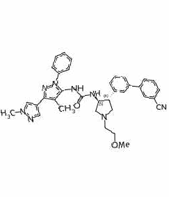 COCCN1C[C@@H](NC(=O)Nc2c(C)c(-c3cnn(C)c3)nn2-c2ccccc2)[C@H](c2cccc(-c3cccc(C#N)c3)c2)C1